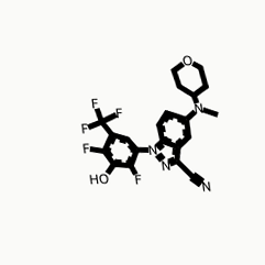 CN(c1ccc2c(c1)c(C#N)nn2-c1cc(C(F)(F)F)c(F)c(O)c1F)C1CCOCC1